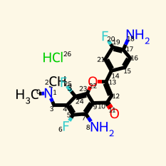 CN(C)Cc1c(F)c(N)c2c(=O)cc(-c3ccc(N)c(F)c3)oc2c1F.Cl